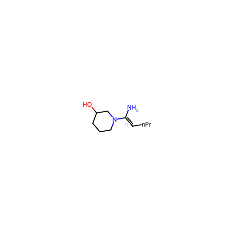 CCC/C=C(\N)N1CCCC(O)C1